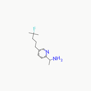 CC(N)c1ccc(CCCC(C)(C)F)cn1